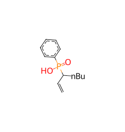 C=CC(CCCC)P(=O)(O)c1ccccc1